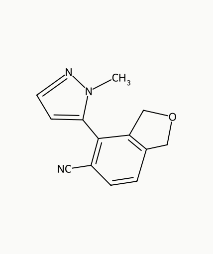 Cn1nccc1-c1c(C#N)ccc2c1COC2